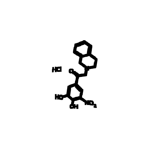 Cl.O=C(CN1CCc2ccccc2C1)c1cc(O)c(O)c([N+](=O)[O-])c1